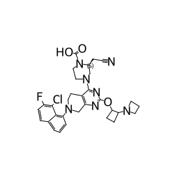 N#CC[C@H]1CN(c2nc(OC3CCC3N3CCC3)nc3c2CCN(c2cccc4ccc(F)c(Cl)c24)C3)CCN1C(=O)O